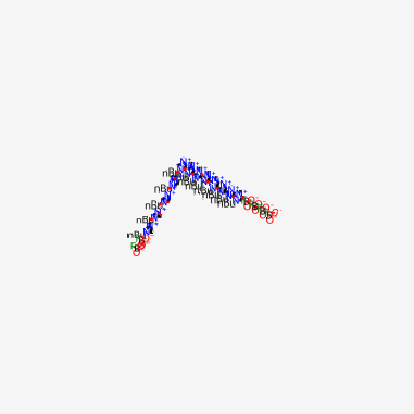 CCCCn1cc[n+](C)c1.CCCCn1cc[n+](C)c1.CCCCn1cc[n+](C)c1.CCCCn1cc[n+](C)c1.CCCCn1cc[n+](C)c1.CCCCn1cc[n+](C)c1.CCCCn1cc[n+](C)c1.CCCCn1cc[n+](C)c1.CCCCn1cc[n+](C)c1.CCCCn1cc[n+](C)c1.CCCCn1cc[n+](C)c1.CCCCn1cc[n+](C)c1.[O-]B([O-])F.[O-]B([O-])F.[O-]B([O-])F.[O-]B([O-])F.[O-]B([O-])F.[O-]B([O-])F